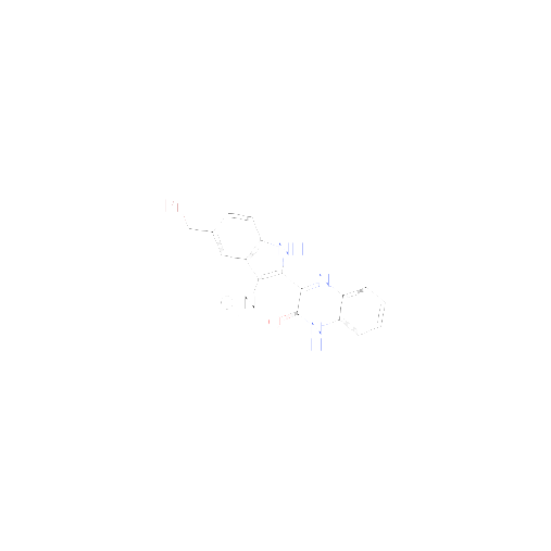 O=c1[nH]c2ccccc2nc1-c1[nH]c2ccc(CBr)cc2c1[N+](=O)[O-]